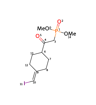 COP(=O)(CC(=O)C1CCC(=CI)CC1)OC